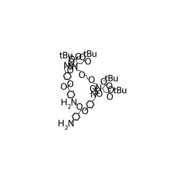 CN(Cc1ccc(OC(=O)c2ccc(N)cc2)cc1)S(=O)(=O)N(CCOCCOCCN(C(CC(=O)OC(C)(C)C)C(=O)OC(C)(C)C)S(=O)(=O)N(C)Cc1ccc(OC(=O)c2ccc(N)cc2)cc1)C(CC(=O)OC(C)(C)C)C(=O)OC(C)(C)C